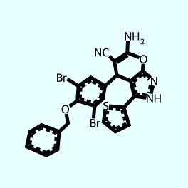 N#CC1=C(N)Oc2n[nH]c(-c3cccs3)c2C1c1cc(Br)c(OCc2ccccc2)c(Br)c1